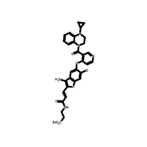 CCOC(=O)CCNC(=O)/C=C/c1oc2cc(Cl)c(Oc3ccncc3C(=O)N3CCN(C4CC4)c4ccccc43)cc2c1C